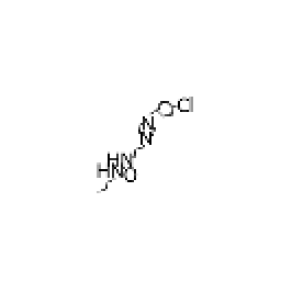 CCCCNC(=O)NCCCN1CCN(Cc2ccc(Cl)cc2)CC1